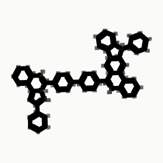 c1ccc(-c2cc3c4ccccc4nc(-c4ccc(-c5ccc(-c6nc7ccccc7c7cc8c(cc67)c6ccccc6n8-c6ccccc6)cc5)cc4)n3n2)cc1